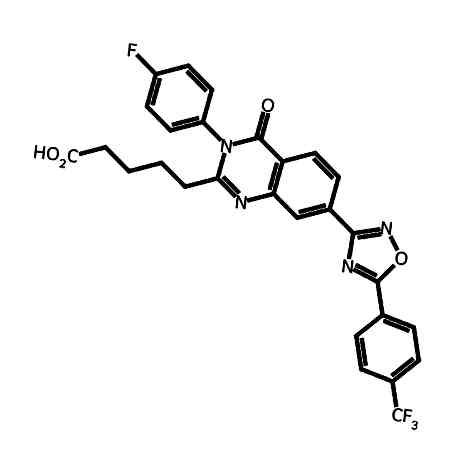 O=C(O)CCCCc1nc2cc(-c3noc(-c4ccc(C(F)(F)F)cc4)n3)ccc2c(=O)n1-c1ccc(F)cc1